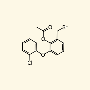 CC(=O)Oc1c(CBr)cccc1Oc1ccccc1Cl